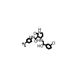 CN(C)c1ccc(NC(=O)c2c(NC[C@@H](O)c3cccc(Cl)c3)cc[nH]c2=O)cc1